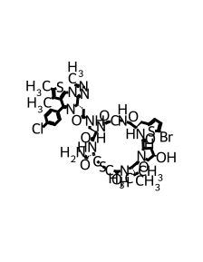 Cc1sc2c(c1C)C(c1ccc(Cl)cc1)=N[C@@H](CC(=O)NC[C@H]1NC(=O)CNC(=O)[C@@H](Cc3ccc(Br)s3)NC(=O)[C@@H]3C[C@@H](O)CN3C(=O)[C@H](C(C)(C)C)NC(=O)CSC[C@H](C(N)=O)NC1=O)c1nnc(C)n1-2